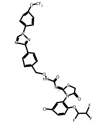 O=C(/N=C1\SCC(=O)N1c1cc(Cl)ccc1OC(F)C(F)F)NOCc1ccc(-c2ncn(-c3ccc(OC(F)(F)F)cc3)n2)cc1